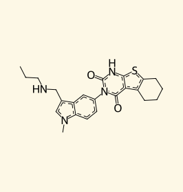 CCCNCc1cn(C)c2ccc(-n3c(=O)[nH]c4sc5c(c4c3=O)CCCC5)cc12